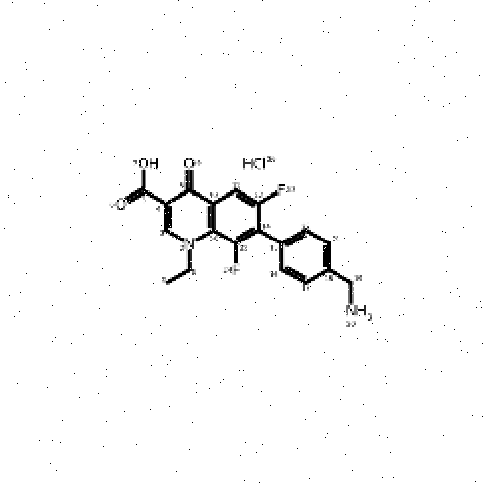 CCn1cc(C(=O)O)c(=O)c2cc(F)c(-c3ccc(CN)cc3)c(F)c21.Cl